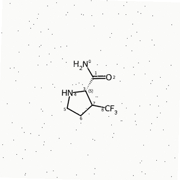 NC(=O)[C@H]1NCCC1C(F)(F)F